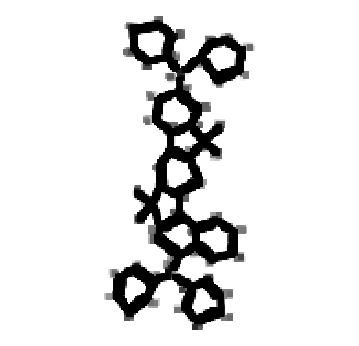 CC1(C)c2cc3c(cc2-c2c1cc(N(c1ccccc1)c1ccccc1)c1ccccc21)C(C)(C)C1C=C(N(C2=CC=CCC2)C2C=CCCC2)C=CC31